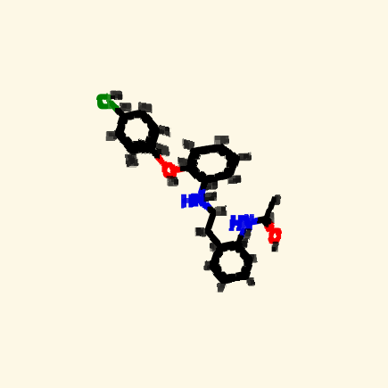 CC(=O)Nc1ccccc1CCNc1ccccc1Oc1ccc(Cl)cc1